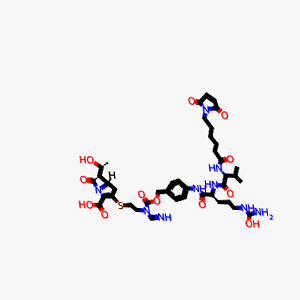 CC(C)[C@H](NC(=O)CCCCCN1C(=O)C=CC1=O)C(=O)N[C@@H](CCCNC(N)O)C(=O)Nc1ccc(COC(=O)N(C=N)CCSC2=C(C(=O)O)N3C(=O)[C@H]([C@@H](C)O)[C@H]3C2)cc1